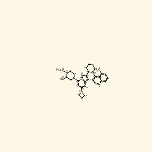 Cc1cccc2ncnc(N3CCCCC3c3cc4nc(N5CCC5)cc(N5CCN(C(=O)O)C(C(C)(C)C)C5)n4n3)c12